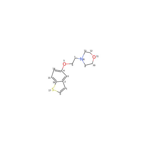 c1cc2cc(OCCN3CCOCC3)ccc2s1